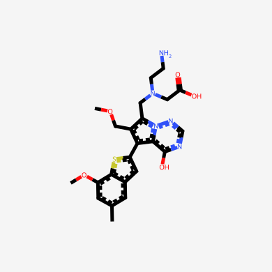 COCc1c(-c2cc3cc(C)cc(OC)c3s2)c2c(O)ncnn2c1CN(CCN)CC(=O)O